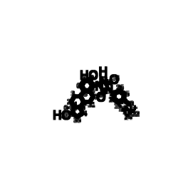 C[C@]12CCC3c4ccc(O)c(-n5[nH]c(=O)n(-c6ccc(C[N+](C)(C)C)cc6)c5=O)c4CCC3C1CCC2O